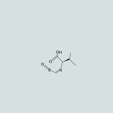 CC(C)[C@@H](/N=C\B=O)C(=O)O